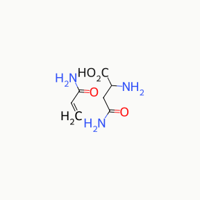 C=CC(N)=O.NC(=O)CC(N)C(=O)O